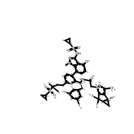 Cn1nc(NS(=O)(=O)C2CC2)c2c(Cl)ccc(-c3ccc(CCC(C)(C)S(=O)(=O)C4CC4)nc3[C@H](Cc3cc(F)cc(F)c3)NC(=O)Cn3nc(C(F)(F)F)c4c3C(F)(F)C3C[C@H]43)c21